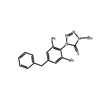 CCC(C)n1nnn(-c2c(C(C)C)cc(Cc3ccccc3)cc2C(C)C)c1=S